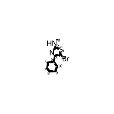 CNc1nc(-c2ccccc2)c(Br)s1